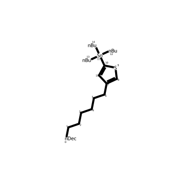 CCCCCCCCCCCCCCCCc1cs[c]([Sn]([CH2]CCC)([CH2]CCC)[CH2]CCC)c1